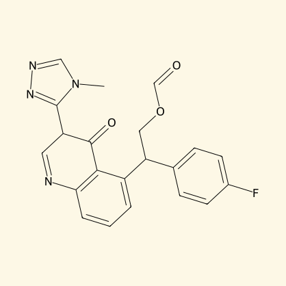 Cn1cnnc1C1C=Nc2cccc(C(COC=O)c3ccc(F)cc3)c2C1=O